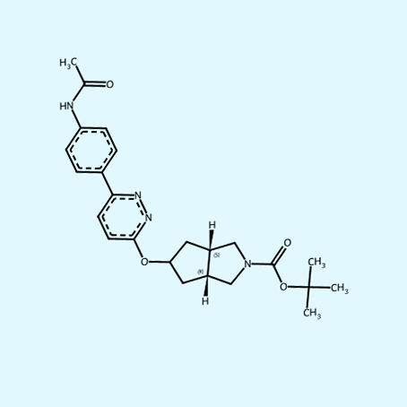 CC(=O)Nc1ccc(-c2ccc(OC3C[C@@H]4CN(C(=O)OC(C)(C)C)C[C@@H]4C3)nn2)cc1